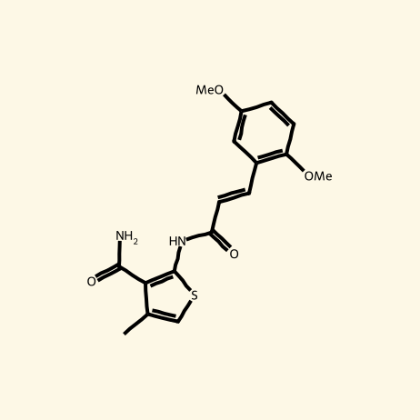 COc1ccc(OC)c(C=CC(=O)Nc2scc(C)c2C(N)=O)c1